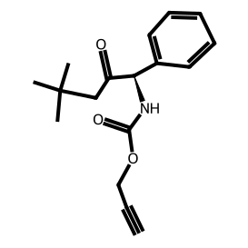 C#CCOC(=O)N[C@@H](C(=O)CC(C)(C)C)c1ccccc1